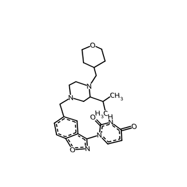 CC(C)C1CN(Cc2ccc3onc(-n4ccc(=O)[nH]c4=O)c3c2)CCN1CC1CCOCC1